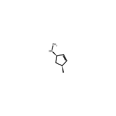 C[C@@H]1C=C[C@H](NP)C1